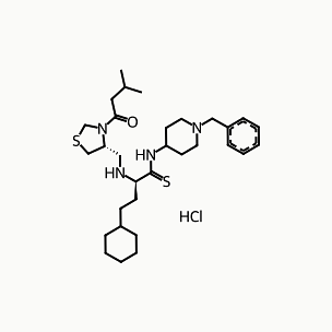 CC(C)CC(=O)N1CSC[C@H]1CN[C@H](CCC1CCCCC1)C(=S)NC1CCN(Cc2ccccc2)CC1.Cl